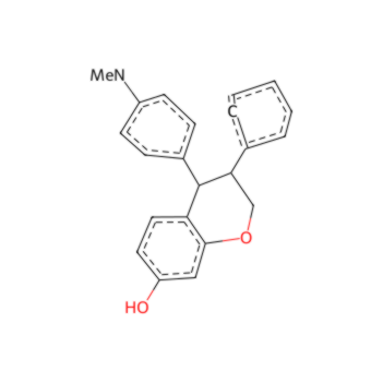 CNc1ccc(C2c3ccc(O)cc3OCC2c2ccccc2)cc1